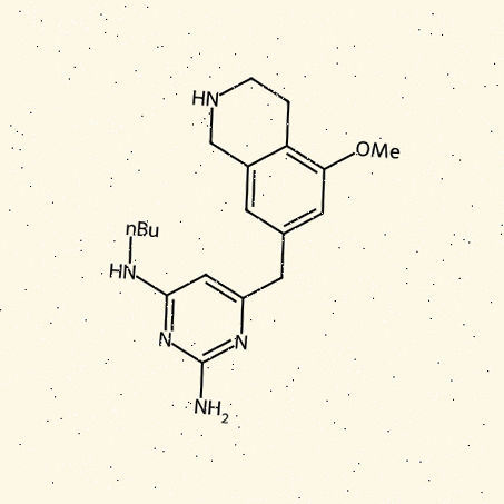 CCCCNc1cc(Cc2cc3c(c(OC)c2)CCNC3)nc(N)n1